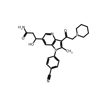 Cc1c(C(=O)CN2CCCCC2)c2ncc(C(O)CC(N)=O)cc2n1-c1ccc(C#N)cc1